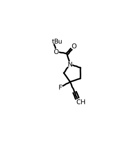 C#CC1(F)CCN(C(=O)OC(C)(C)C)C1